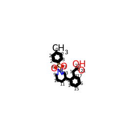 Cc1ccc(S(=O)(=O)N2CCCC(c3ccccc3CC(=O)O)C2)cc1